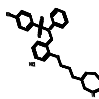 Cl.O=S(=O)(c1ccc(Cl)cc1)N(Cc1ccccc1OCCCC1CCCCNC1)c1ccccc1